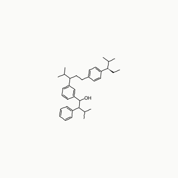 CC[C@@H](c1ccc(CCC(c2cccc(C(O)C(c3ccccc3)C(C)C)c2)C(C)C)cc1)C(C)C